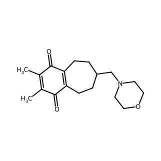 CC1=C(C)C(=O)C2=C(CCC(CN3CCOCC3)CC2)C1=O